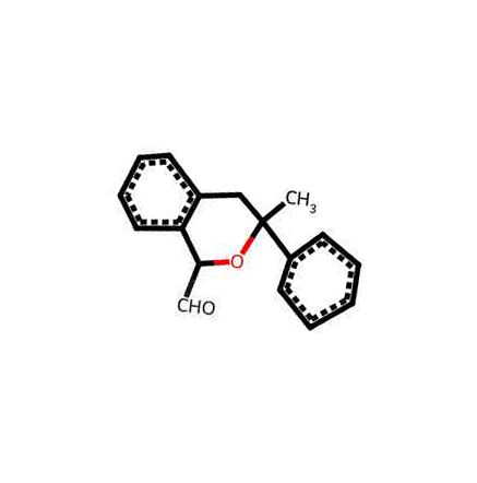 CC1(c2ccccc2)Cc2ccccc2C(C=O)O1